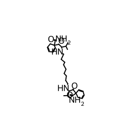 CC(C)C(NCCCCCCCCCNC(C(=O)C1(C(N)=O)C=CC=CC1)C(C)C)C(=O)C1(C(N)=O)C=CC=CC1